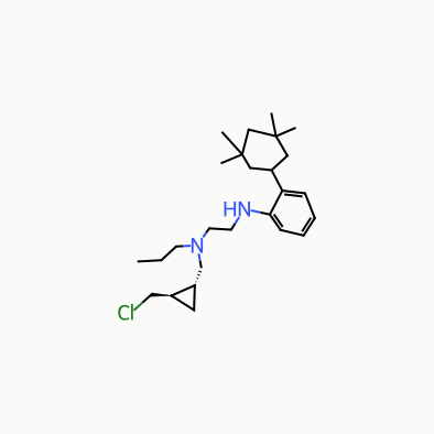 CCCN(CCNc1ccccc1C1CC(C)(C)CC(C)(C)C1)C[C@@H]1C[C@H]1CCl